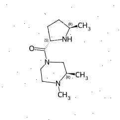 C[C@@H]1CC[C@@H](C(=O)N2CCN(C)[C@H](C)C2)N1